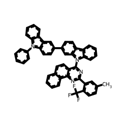 Cc1ccc(C(F)(F)F)c(-c2nc(-n3c4ccccc4c4ccc(-c5ccc6c(c5)c5ccccc5n6-c5ccccc5)cc43)c3ccc4ccccc4c3n2)c1